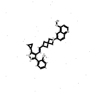 CC(C)Oc1ccnc2ccc(N3CC4(CC(/C=C/c5c(-c6ccccc6C(F)(F)F)noc5C5CC5)C4)C3)cc12